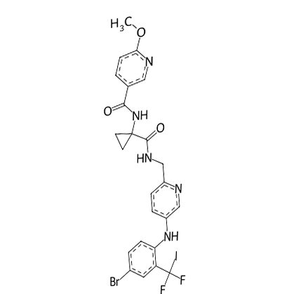 COc1ccc(C(=O)NC2(C(=O)NCc3ccc(Nc4ccc(Br)cc4C(F)(F)I)cn3)CC2)cn1